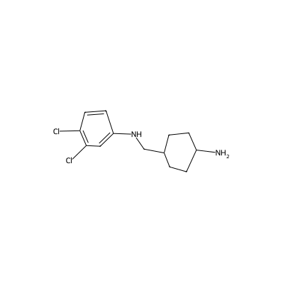 NC1CCC(CNc2ccc(Cl)c(Cl)c2)CC1